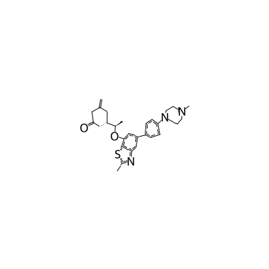 C=C1CC(=O)C[C@@H]([C@@H](C)Oc2cc(-c3ccc(N4CCN(C)CC4)cc3)cc3nc(C)sc23)C1